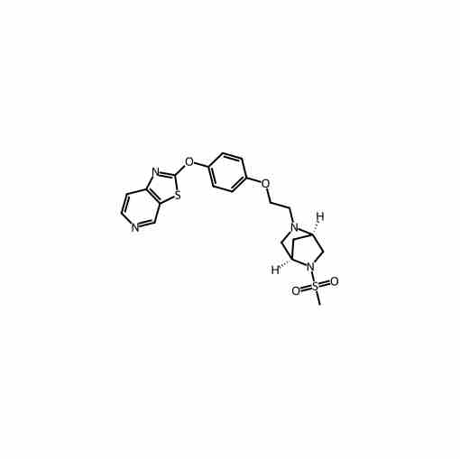 CS(=O)(=O)N1C[C@H]2C[C@@H]1CN2CCOc1ccc(Oc2nc3ccncc3s2)cc1